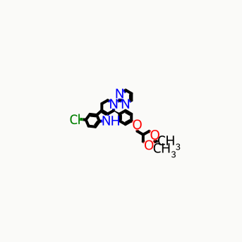 CC1(C)OCC(COc2ccc([C@H]3c4[nH]c5c(c4CCN3c3ncccn3)=CC(Cl)CC=5)cc2)CO1